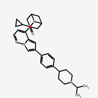 CC(C)N1CCC(c2ccc(-c3cc4c(N5CC6CC(C5)N6C(=O)C5CC5)ccnn4c3)cc2)CC1